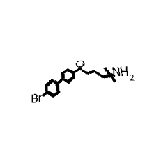 CC(C)(N)CCCC(=O)c1ccc(-c2ccc(Br)cc2)cc1